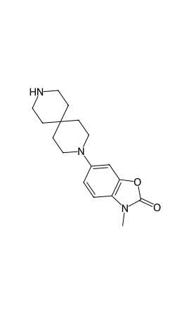 Cn1c(=O)oc2cc(N3CCC4(CCNCC4)CC3)ccc21